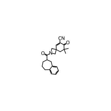 CC1(C)CC2(C=C(C#N)C1=O)CN(C(=O)C1CCCc3ccccc3C1)C2